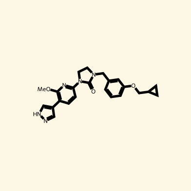 COc1nc(N2CCN(Cc3cccc(OCC4CC4)c3)C2=O)ccc1-c1cn[nH]c1